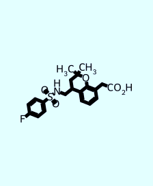 CC1(C)CC(CNS(=O)(=O)c2ccc(F)cc2)c2cccc(CC(=O)O)c2O1